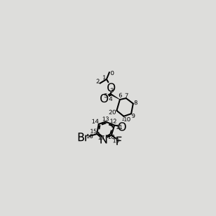 CC(C)OC(=O)[C@H]1CCC[C@H](Oc2ccc(Br)nc2F)C1